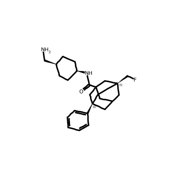 NC[C@H]1CC[C@@H](NC(=O)C23CC4C[C@@](CF)(C2)C[C@](c2ccccc2)(C4)C3)CC1